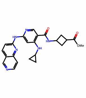 COC(=O)C1CC(NC(=O)c2cnc(Nc3ccc4cnccc4n3)cc2NC2CC2)C1